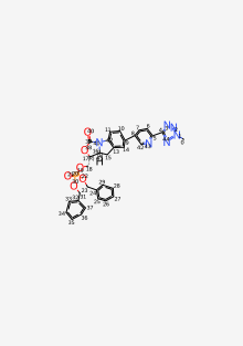 Cn1nnc(-c2ccc(-c3ccc4c(c3)C[C@H]3[C@H](COP(=O)(OCc5ccccc5)OCc5ccccc5)OC(=O)N43)cn2)n1